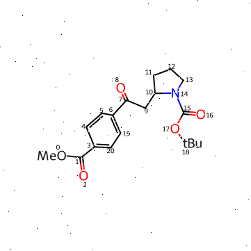 COC(=O)c1ccc(C(=O)CC2CCCN2C(=O)OC(C)(C)C)cc1